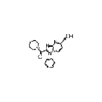 C#Cc1ccn2nc(C(=O)N3CCCCC3)nc2n1.c1ccccc1